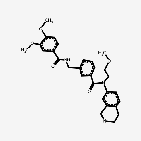 COCCN(C(=O)c1cccc(CNC(=O)c2ccc(OC)c(OC)c2)c1)c1ccc2c(c1)CNCC2